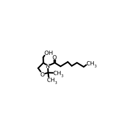 CCCCCCC(=O)N1C(CO)COC1(C)C